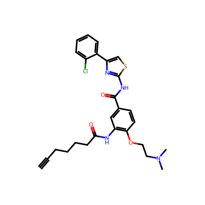 C#CCCCCC(=O)Nc1cc(C(=O)Nc2nc(-c3ccccc3Cl)cs2)ccc1OCCN(C)C